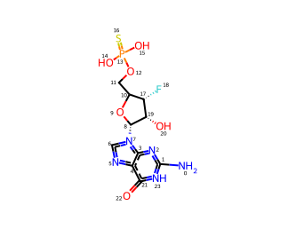 Nc1nc2c(ncn2[C@@H]2OC(COP(O)(O)=S)[C@H](F)[C@@H]2O)c(=O)[nH]1